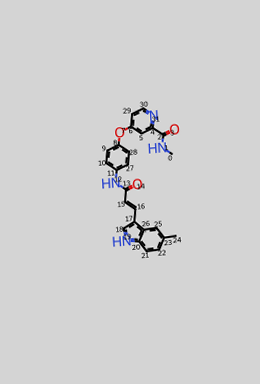 CNC(=O)c1cc(Oc2ccc(NC(=O)C=Cc3c[nH]c4ccc(C)cc34)cc2)ccn1